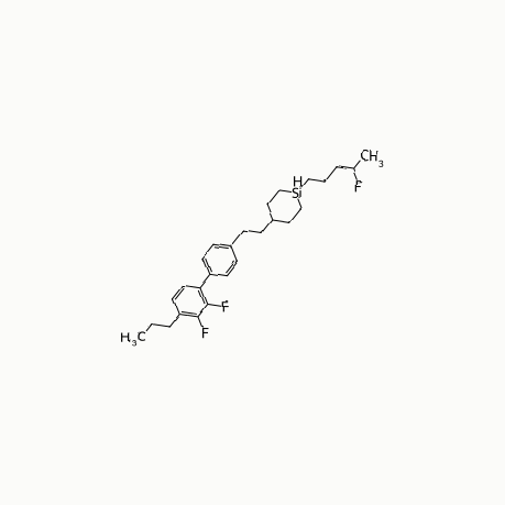 CCCc1ccc(-c2ccc(CCC3CC[SiH](CCCC(C)F)CC3)cc2)c(F)c1F